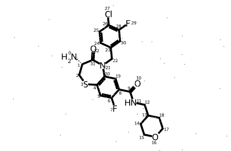 N[C@H]1CSc2cc(F)c(C(=O)NCC3CCOCC3)cc2N(Cc2ccc(Cl)c(F)c2)C1=O